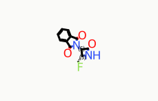 O=C1N[C@H](CF)[C@@H]1N1C(=O)c2ccccc2C1=O